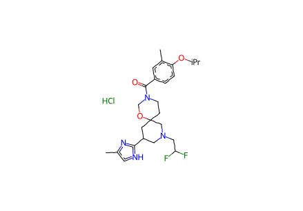 Cc1c[nH]c(C2CN(CC(F)F)CC3(CCN(C(=O)c4ccc(OC(C)C)c(C)c4)CO3)C2)n1.Cl